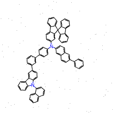 c1ccc(-c2ccc3cc(N(c4ccc(-c5cccc(-c6ccc7c(c6)c6ccccc6n7-c6cccc7ccccc67)c5)cc4)c4ccc5c(c4)C4(c6ccccc6-c6ccccc64)c4ccccc4-5)ccc3c2)cc1